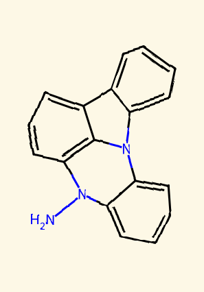 NN1c2ccccc2-n2c3ccccc3c3cccc1c32